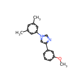 COc1cccc(-c2cn(-c3cc(C)cc(C)c3)cn2)c1